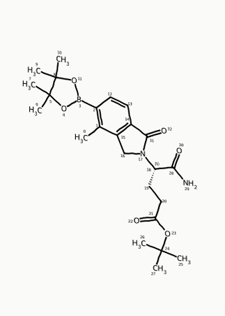 Cc1c(B2OC(C)(C)C(C)(C)O2)ccc2c1CN([C@@H](CCC(=O)OC(C)(C)C)C(N)=O)C2=O